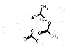 CC(=O)[O-].CC(=O)[O-].C[CH](C)[Bi+2]